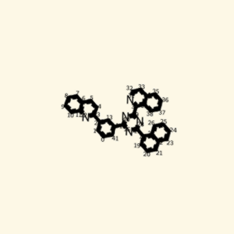 c1cc(-c2ccc3ccccc3n2)cc(-c2nc(-c3cccc4ccccc34)nc(-c3nccc4ccccc34)n2)c1